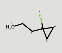 CCCC1(F)CC1